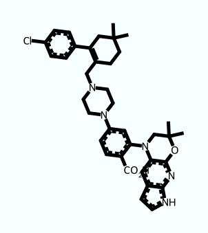 CC1(C)CCC(CN2CCN(c3ccc(C(=O)O)c(N4CC(C)(C)Oc5nc6[nH]ccc6cc54)c3)CC2)=C(c2ccc(Cl)cc2)C1